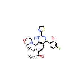 COC(=O)/C=C/C1=C(CN2CCOC[C@H]2C(=O)O)NC(c2nccs2)=NC1c1ccc(F)cc1Br